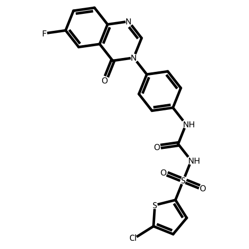 O=C(Nc1ccc(-n2cnc3ccc(F)cc3c2=O)cc1)NS(=O)(=O)c1ccc(Cl)s1